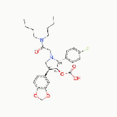 CCCCN(CCCC)C(=O)CN1C[C@H](c2ccc3c(c2)OCO3)[C@H](OC(=O)O)[C@H]1c1ccc(F)cc1